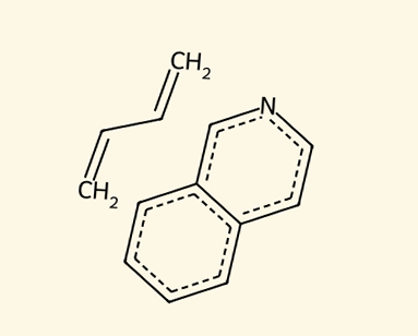 C=CC=C.c1ccc2cnccc2c1